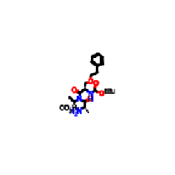 C[C@H](N)C(=O)N(C(=O)[C@H](COCCc1ccccc1)NC(=O)OC(C)(C)C)[C@@H](C)C(=O)O